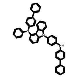 c1ccc(-c2ccc(Nc3ccc(-n4c5ccccc5c5c(N(c6ccccc6)c6ccc(-c7ccccc7)cc6)cccc54)cc3)cc2)cc1